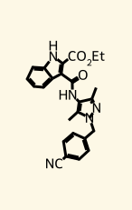 CCOC(=O)c1[nH]c2ccccc2c1C(=O)Nc1c(C)nn(Cc2ccc(C#N)cc2)c1C